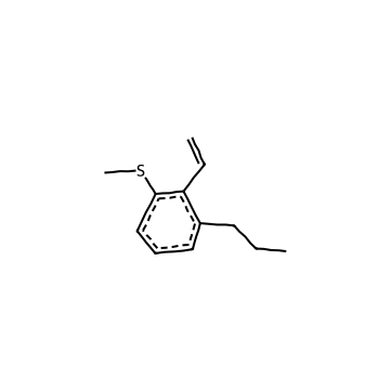 C=Cc1c(CCC)cccc1SC